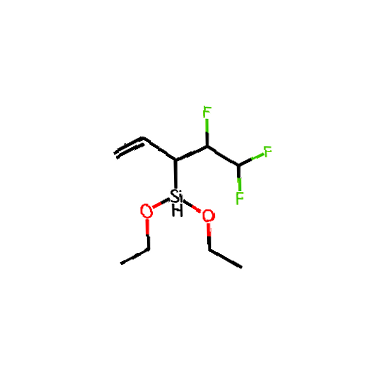 C=CC(C(F)C(F)F)[SiH](OCC)OCC